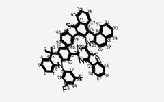 CC1(C)c2ccccc2N(c2cc(F)cc(F)c2)c2cc(-c3nc(-n4c5ccc6ccccc6c5c5c6ccccc6c6sc7ccccc7c6c54)c4sc5ccccc5c4n3)ccc21